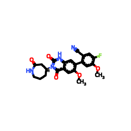 COc1cc(-c2cc3[nH]c(=O)n([C@@H]4CCCNC(=O)C4)c(=O)c3cc2OC)c(C#N)cc1F